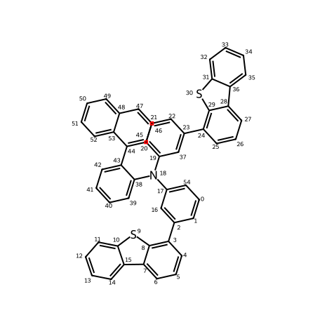 c1cc(-c2cccc3c2sc2ccccc23)cc(N(c2cccc(-c3cccc4c3sc3ccccc34)c2)c2ccccc2-c2cccc3ccccc23)c1